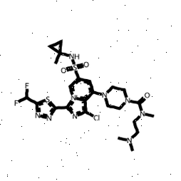 CN(C)CCN(C)C(=O)N1CCN(c2cc(S(=O)(=O)NC3(C)CC3)cn3c(-c4nnc(C(F)F)s4)nc(Cl)c23)CC1